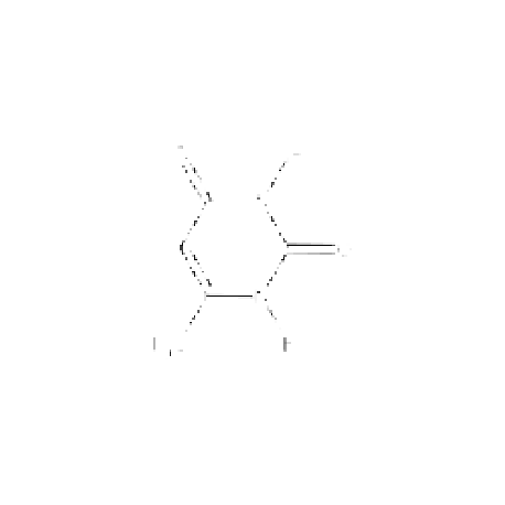 CCn1c(C(F)(F)F)cc(=O)n(C(C)C)c1=O